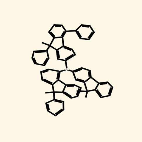 CC1(C)c2ccccc2-c2ccc(N(c3ccc4c(c3)C(C)(c3ccccc3)c3cccc(-c5ccccc5)c3-4)c3cccc4c3-c3ccccc3C4(C)c3ccccc3)cc21